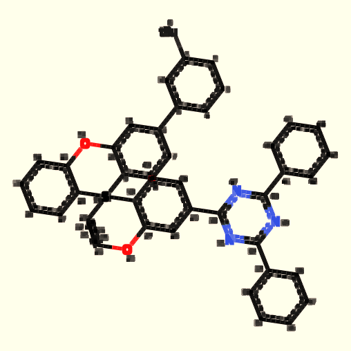 CC(C)(C)c1cccc(-c2ccc3c(c2)Oc2ccccc2[Si]32c3ccccc3Oc3cc(-c4nc(-c5ccccc5)nc(-c5ccccc5)n4)ccc32)c1